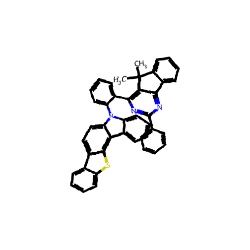 CC1(C)c2ccccc2-c2nc(-c3ccccc3)nc(-c3ccccc3-n3c4ccccc4c4c5sc6ccccc6c5ccc43)c21